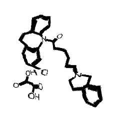 O=C(CCCCN1CCc2ccccc2C1)N1c2ccccc2CCc2ccc(Cl)cc21.O=C(O)C(=O)O